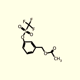 CC(=O)OCc1cccc(OS(=O)(=O)C(F)(F)F)c1